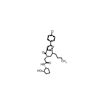 CCCCC1CN(CC(=O)N[C@@H]2CCC[C@H]2O)C(=O)c2cc(-c3ccc(Cl)cc3)nn21